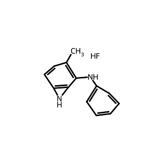 Cc1ccc2c(c1Nc1ccccc1)N2.F